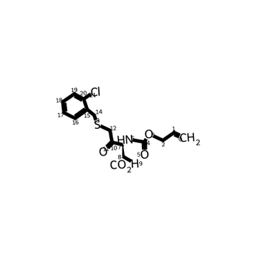 C=CCOC(=O)N[C@@H](CC(=O)O)C(=O)CSCc1ccccc1Cl